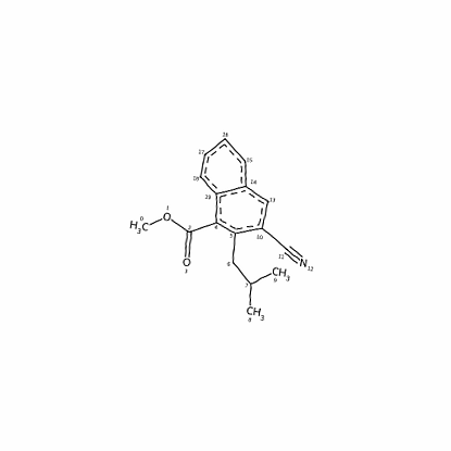 COC(=O)c1c(CC(C)C)c(C#N)cc2ccccc12